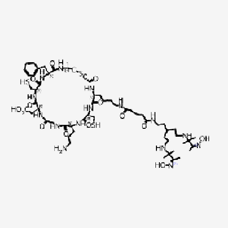 C/C(=N/O)C(C)(C)NCCC(CCNC(=O)CCCC(=O)NCCCC[C@@H]1NC(=O)CSC[C@@H](C)NC(=O)[C@H](Cc2ccccc2)NC(=O)[C@H](CS)NC(=O)[C@H](CC(=O)O)NC(=O)CNC(=O)[C@H](CCCN)NC(=O)[C@H](CS)NC1=O)CCNC(C)(C)/C(C)=N\O